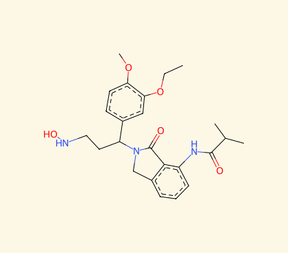 CCOc1cc(C(CCNO)N2Cc3cccc(NC(=O)C(C)C)c3C2=O)ccc1OC